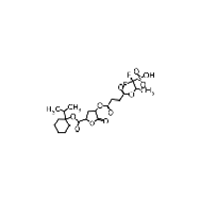 CC(C)C1(OC(=O)C2CC(OC(=O)CCC(=O)OC(C)C(F)(F)S(=O)(=O)O)C(=O)O2)CCCCC1